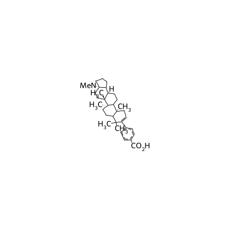 CN[C@]12CCCC1[C@H]1CCC3[C@@]4(C)CC=C(c5ccc(C(=O)O)cc5)C(C)(C)C4CC[C@@]3(C)[C@]1(C)CC2